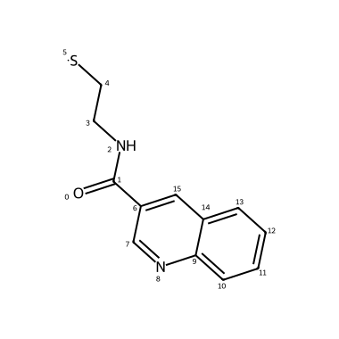 O=C(NCC[S])c1cnc2ccccc2c1